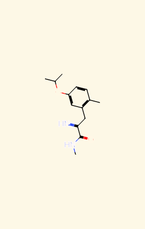 CNC(=O)C(=N)Cc1cc(OC(C)C)ccc1C